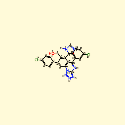 CN1C=NCC1c1c(CO)c(-c2ccc(Cl)cc2)cc2c1c(-c1cccc(Cl)c1)nc1nnnn12